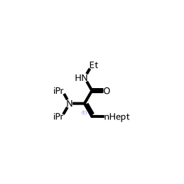 CCCCCCC/C=C(\C(=O)NCC)N(C(C)C)C(C)C